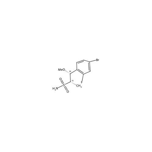 CO[C@H](c1ccc(Br)cc1F)[C@H](C)S(N)(=O)=O